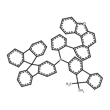 CC1(C)c2ccccc2-c2ccc(N(c3ccc4c(c3)C3(c5ccccc5-c5ccccc53)c3ccccc3-4)c3ccccc3-c3cccc4ccc5oc6ccccc6c5c34)cc21